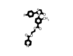 Cc1cc(C(=O)OCCOC(=O)c2ccncc2)ccc1N1C(=O)CSC1c1ccc(F)cc1